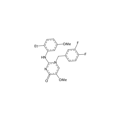 CCc1ccc(OC)cc1Nc1nc(=O)c(OC)cn1Cc1ccc(F)c(F)c1